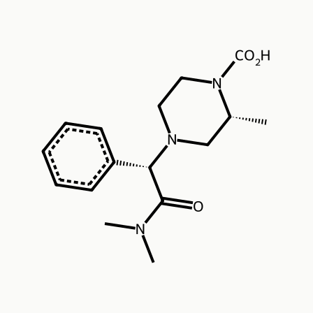 C[C@@H]1CN([C@H](C(=O)N(C)C)c2ccccc2)CCN1C(=O)O